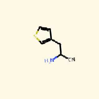 N#CC(N)Cc1ccsc1